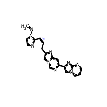 C=Nn1ccnc1/C=C\Cc1cn2cnc(-c3cn4cccnc4n3)cc2n1